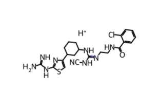 N#CN/C(=N/CCNC(=O)c1ccccc1Cl)NC1CCCC(c2csc(NC(=N)N)n2)C1.[H+]